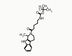 CC1c2[nH]c3ccccc3c2CCN1C(=O)CCCCNC(=O)OC(C)(C)C